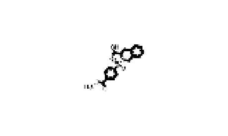 COC(=O)c1ccc(S(=O)(=O)N2Cc3ccccc3CC2C(=O)O)cc1